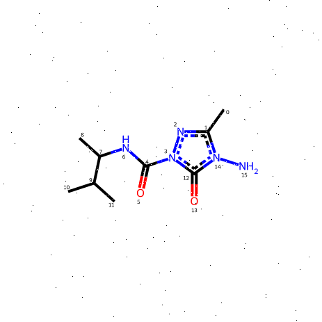 Cc1nn(C(=O)NC(C)C(C)C)c(=O)n1N